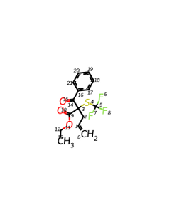 C=CCC(SC(F)(F)F)(C(=O)OCC)C(=O)c1ccccc1